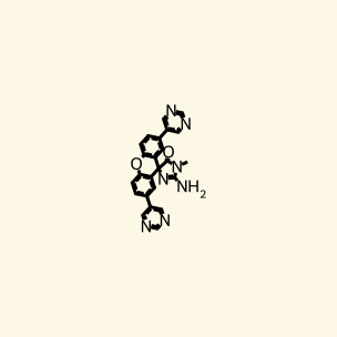 CN1C(=O)C2(N=C1N)c1cc(-c3cncnc3)ccc1Oc1ccc(-c3cncnc3)cc12